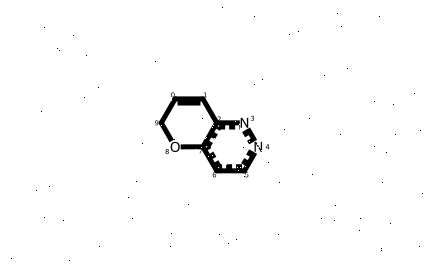 C1=Cc2nnccc2OC1